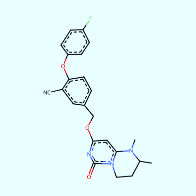 CC1CCn2c(cc(OCc3ccc(Oc4ccc(F)cc4)c(C#N)c3)nc2=O)N1C